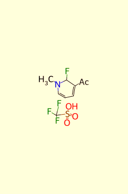 CC(=O)C1=CC=CN(C)C1F.O=S(=O)(O)C(F)(F)F